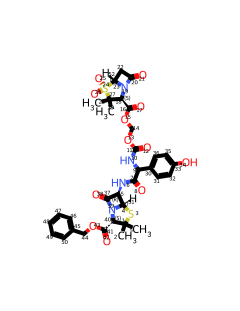 CC1(C)S[C@@H]2[C@H](NC(=O)C(NC(=O)OCOC(=O)[C@@H]3N4C(=O)C[C@H]4S(=O)(=O)C3(C)C)c3ccc(O)cc3)C(=O)N2[C@H]1C(=O)OCc1ccccc1